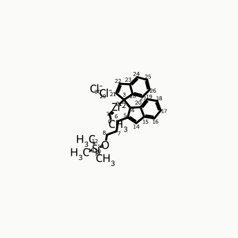 C[CH]=[Zr+2][C]1(C2C(CCCO[Si](C)(C)C)=Cc3ccccc32)C=Cc2ccccc21.[Cl-].[Cl-]